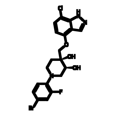 O[C@@H]1CN(c2ccc(Br)cc2F)CC[C@@]1(O)COc1ccc(Cl)c2[nH]ncc12